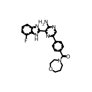 Nc1ncc(-c2ccc(C(=O)N3CCCOCC3)cc2)nc1-c1nc2cccc(F)c2[nH]1